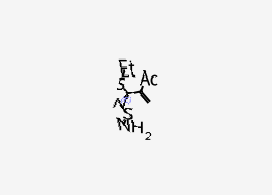 C=C(C(C)=O)/C(=N\SN)SCC